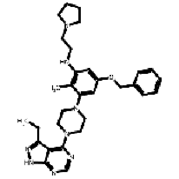 CCc1n[nH]c2ncnc(N3CCN(c4cc(OCc5ccccc5)cc(NCCN5CCCC5)c4C)CC3)c12